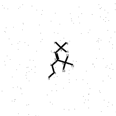 CCC/C(=C/C(C)(C)C)C(C)(C)C